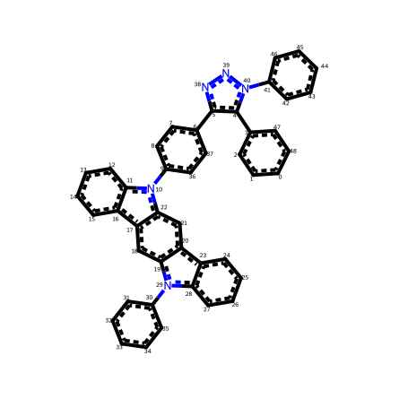 c1ccc(-c2c(-c3ccc(-n4c5ccccc5c5cc6c(cc54)c4ccccc4n6-c4ccccc4)cc3)nnn2-c2ccccc2)cc1